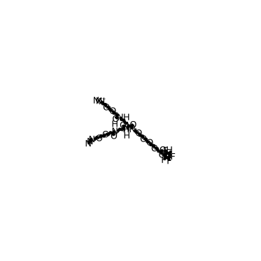 Cc1c(F)c(F)c(F)c(OC(O)CCOCCOCCOCCOCCNC(=O)[C@H](CCCCNC(=O)CCOCCOCCN=[N+]=[N-])NC(=O)CCCNC(=O)CCOCCOCCN=[N+]=[N-])c1F